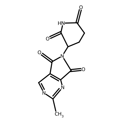 Cc1ncc2c(n1)C(=O)N(C1CCC(=O)NC1=O)C2=O